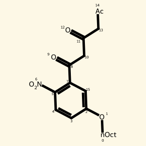 CCCCCCCCOc1ccc([N+](=O)[O-])c(C(=O)CC(=O)CC(C)=O)c1